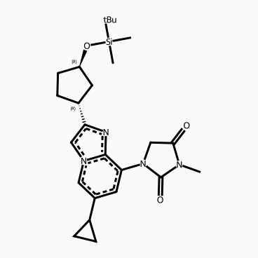 CN1C(=O)CN(c2cc(C3CC3)cn3cc([C@@H]4CC[C@@H](O[Si](C)(C)C(C)(C)C)C4)nc23)C1=O